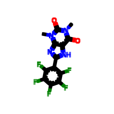 Cn1c(=O)c2[nH]c(-c3c(F)c(F)c(F)c(F)c3F)nc2n(C)c1=O